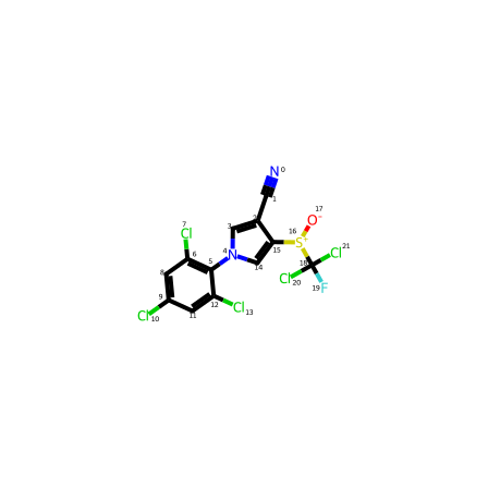 N#Cc1cn(-c2c(Cl)cc(Cl)cc2Cl)cc1[S+]([O-])C(F)(Cl)Cl